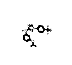 CC(C)Oc1cccc(Nc2ncn(-c3ccc(C(F)(F)F)cc3)n2)c1